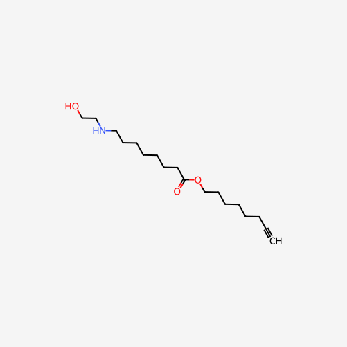 C#CCCCCCCOC(=O)CCCCCCCNCCO